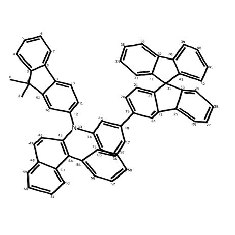 CC1(C)c2ccccc2-c2ccc(N(c3cccc(-c4ccc5c(c4)-c4ccccc4C54c5ccccc5-c5ccccc54)c3)c3ccc4ccccc4c3-c3ccccc3)cc21